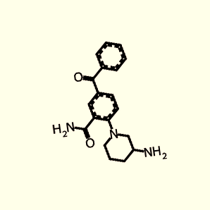 NC(=O)c1cc(C(=O)c2ccccc2)ccc1N1CCCC(N)C1